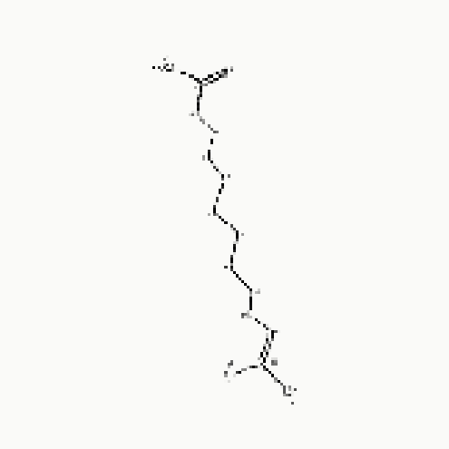 O=C(O)CCCCCCCCCC=C(Br)Br